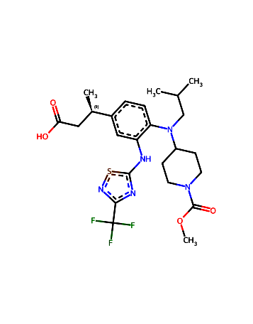 COC(=O)N1CCC(N(CC(C)C)c2ccc([C@H](C)CC(=O)O)cc2Nc2nc(C(F)(F)F)ns2)CC1